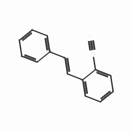 N#[N+]c1ccccc1C=Cc1ccccc1